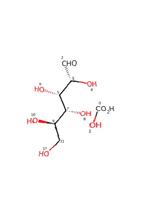 O=C(O)O.O=C[C@H](O)[C@@H](O)[C@H](O)[C@H](O)CO